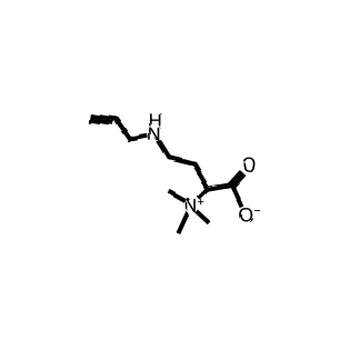 C=CCNCCC(C(=O)[O-])[N+](C)(C)C